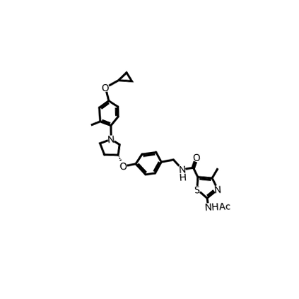 CC(=O)Nc1nc(C)c(C(=O)NCc2ccc(O[C@@H]3CCN(c4ccc(OC5CC5)cc4C)C3)cc2)s1